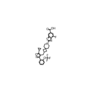 O=C(O)c1cc(F)c2nc(N3CCC4(CC3)CC(Cc3c(-c5ccccc5OC(F)(F)F)noc3C3CC3)C4)sc2c1